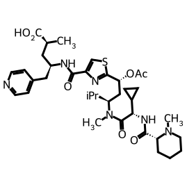 CC(=O)O[C@H](C[C@H](C(C)C)N(C)C(=O)[C@@H](NC(=O)[C@H]1CCCCN1C)C1CC1)c1nc(C(=O)N[C@@H](Cc2ccncc2)C[C@H](C)C(=O)O)cs1